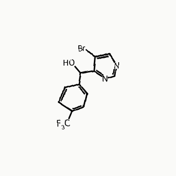 OC(c1ccc(C(F)(F)F)cc1)c1ncncc1Br